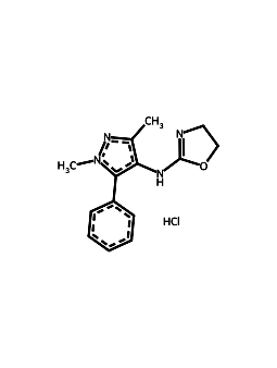 Cc1nn(C)c(-c2ccccc2)c1NC1=NCCO1.Cl